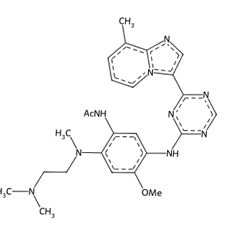 COc1cc(N(C)CCN(C)C)c(NC(C)=O)cc1Nc1ncnc(-c2cnc3c(C)cccn23)n1